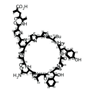 C=C(CC(=O)C(=C)NC(=O)c1csc(-c2ccc3c(n2)-c2csc(n2)-c2csc(n2)C(C(C)CC)NC(=O)C(Cc2ccc(O)cc2)NC(=O)c2csc(n2)C(C(O)c2ccccc2)CC(=O)c2nc(sc2C)C(CC(N)=O)NC(=O)c2csc-3n2)n1)C(=O)O